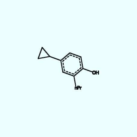 CCCc1cc(C2CC2)ccc1O